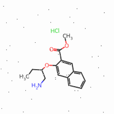 CCC(CN)Oc1cc2ccccc2cc1C(=O)OC.Cl